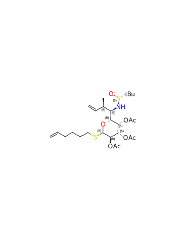 C=CCCCCS[C@H]1O[C@H]([C@H](N[S@+]([O-])C(C)(C)C)[C@H](C)C=C)[C@H](OC(C)=O)[C@H](OC(C)=O)[C@H]1OC(C)=O